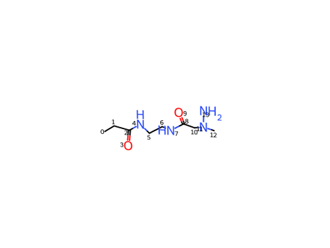 CCC(=O)NCCNC(=O)CN(C)N